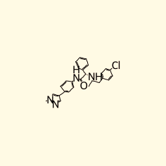 CC(Cc1ccc(Cl)cc1)N[C@H](C(=O)Nc1ccc(-c2cnn(C)c2)cc1)c1ccccc1